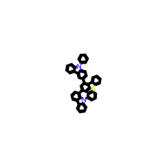 c1ccc(-n2c3ccccc3c3cc(-c4cc(-c5cccc6c7ccccc7n(-c7ccccc7)c56)cc5sc6ccccc6c45)ccc32)cc1